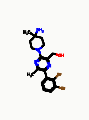 Cc1nc(N2CCC(C)(N)CC2)c(CO)nc1-c1cccc(Br)c1Br